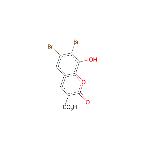 O=C(O)c1cc2cc(Br)c(Br)c(O)c2oc1=O